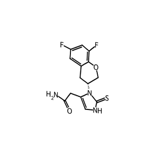 NC(=O)Cc1c[nH]c(=S)n1[C@H]1COc2c(F)cc(F)cc2C1